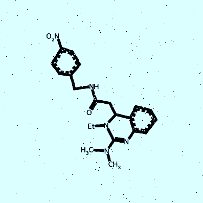 CCN1C(N(C)C)=Nc2ccccc2C1CC(=O)NCc1ccc([N+](=O)[O-])cc1